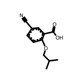 CC(C)COc1ccc(C#N)cc1C(=O)O